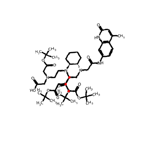 Cc1cc(=O)[nH]c2cc(NC(=O)CN(CCN(CC(=O)OC(C)(C)C)CC(=O)OC(C)(C)C)[C@H]3CCCC[C@@H]3N(CCN(CC(=O)O)CC(=O)OC(C)(C)C)CC(=O)OC(C)(C)C)ccc12